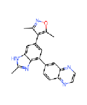 Cc1nc2c(-c3ccc4nccnc4c3)cc(-c3c(C)noc3C)cc2[nH]1